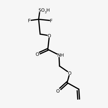 C=CC(=O)OCNC(=O)OCC(F)(F)S(=O)(=O)O